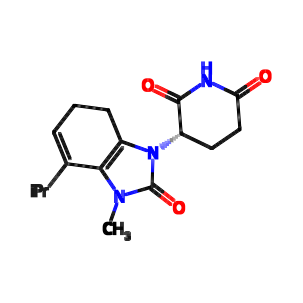 CC(C)C1=CCCc2c1n(C)c(=O)n2[C@H]1CCC(=O)NC1=O